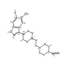 CC(=O)NC1CCC(CCN2CCN(c3noc4cc(F)c(Cl)cc34)CC2)CC1